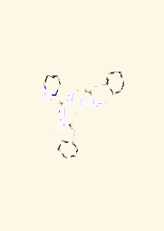 C[C@@H](c1ccccn1)N(C[C@H]1Cc2ccccc2CN1)C[C@H]1Cc2ccccc2CN1